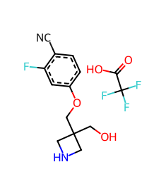 N#Cc1ccc(OCC2(CO)CNC2)cc1F.O=C(O)C(F)(F)F